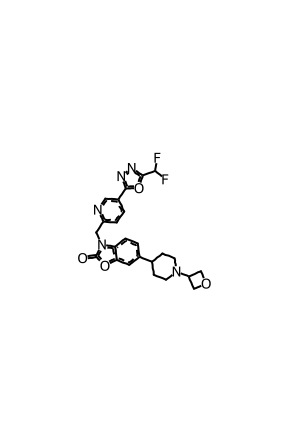 O=c1oc2cc(C3CCN(C4COC4)CC3)ccc2n1Cc1ccc(-c2nnc(C(F)F)o2)cn1